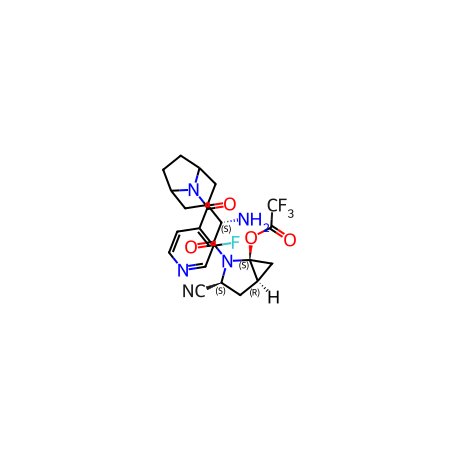 N#C[C@@H]1C[C@@H]2C[C@@]2(OC(=O)C(F)(F)F)N1C(=O)[C@@H](N)C1CC2CCC(C1)N2C(=O)c1ccncc1F